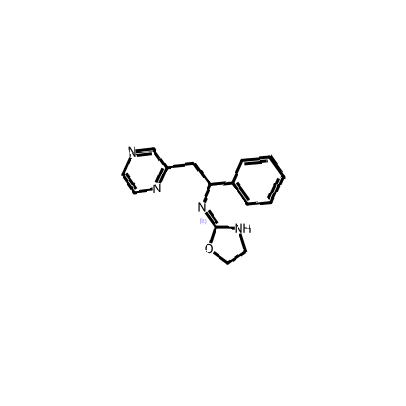 c1ccc(C(Cc2cnccn2)/N=C2\NCCO2)cc1